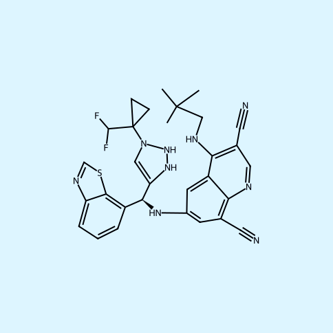 CC(C)(C)CNc1c(C#N)cnc2c(C#N)cc(N[C@H](C3=CN(C4(C(F)F)CC4)NN3)c3cccc4ncsc34)cc12